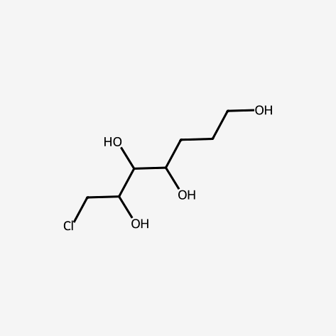 OCCCC(O)C(O)C(O)CCl